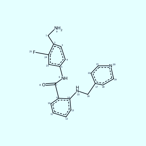 NCc1ccc(NC(=O)c2ccccc2NCc2ccncc2)cc1F